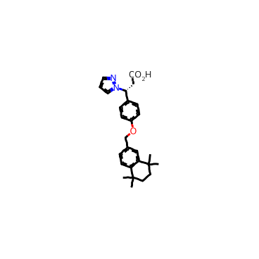 CC1(C)CCC(C)(C)c2cc(COc3ccc([C@@H](CC(=O)O)n4cccn4)cc3)ccc21